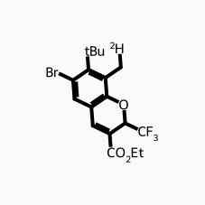 [2H]Cc1c2c(cc(Br)c1C(C)(C)C)C=C(C(=O)OCC)C(C(F)(F)F)O2